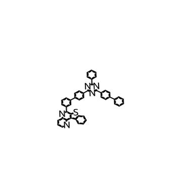 c1ccc(-c2ccc(-c3nc(-c4ccccc4)nc(-c4ccc(-c5cccc(-c6nc7cccnc7c7c6sc6ccccc67)c5)cc4)n3)cc2)cc1